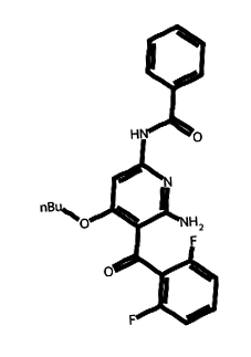 CCCCOc1cc(NC(=O)c2ccccc2)nc(N)c1C(=O)c1c(F)cccc1F